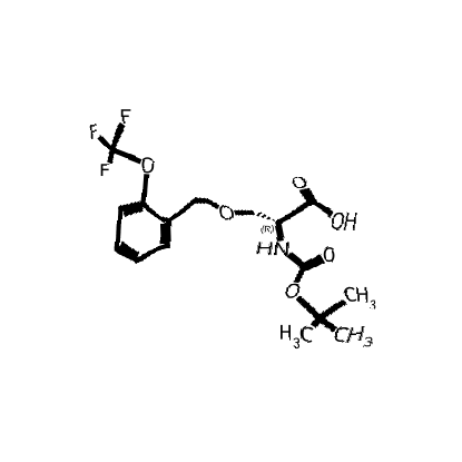 CC(C)(C)OC(=O)N[C@H](COCc1ccccc1OC(F)(F)F)C(=O)O